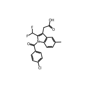 Cc1ccc2c(c1)c(CC(=O)O)c(C(F)F)n2C(=O)c1ccc(Cl)cc1